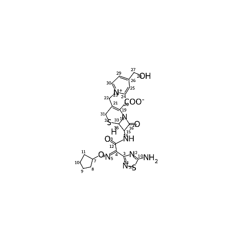 Nc1nc(/C(=N/OC2CCCC2)C(=O)NC2C(=O)N3C(C(=O)[O-])=C(C[n+]4ccc(CO)cc4)CS[C@H]23)ns1